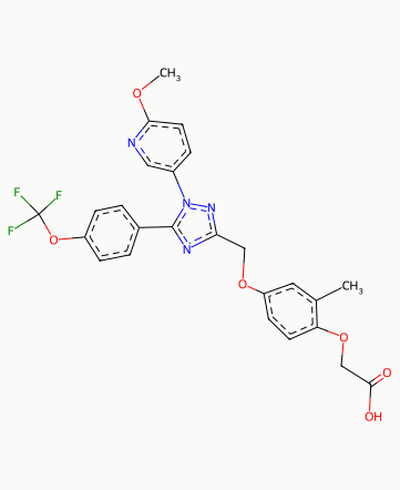 COc1ccc(-n2nc(COc3ccc(OCC(=O)O)c(C)c3)nc2-c2ccc(OC(F)(F)F)cc2)cn1